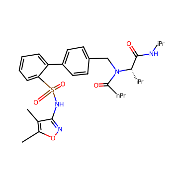 CCCC(=O)N(Cc1ccc(-c2ccccc2S(=O)(=O)Nc2noc(C)c2C)cc1)[C@H](C(=O)NC(C)C)C(C)C